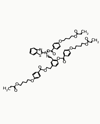 C=CC(=O)OCCCCOc1ccc(C(=O)OCCc2ccc(OC(=O)c3ccc(OCCCCOC(=O)C=C)cc3)c(/C=N/N(OC(=O)c3ccc(OCCCCOC(=O)C=C)cc3)c3nc4ccccc4s3)c2)cc1